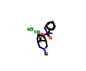 CCN1CC2CC[C@H](N(C)C)C(C1)[C@@H]2OC(=O)c1ccccc1.Cl.Cl